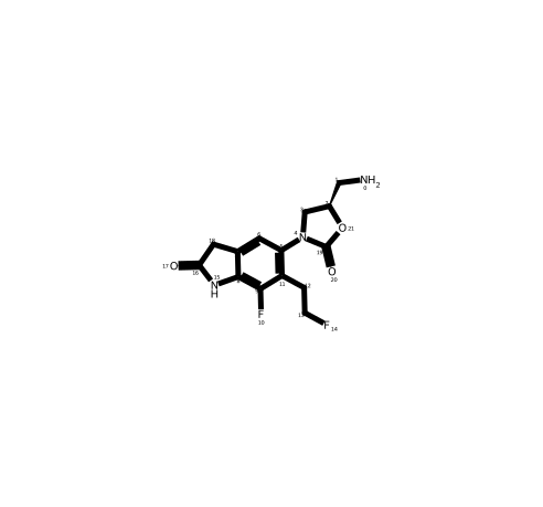 NC[C@@H]1CN(c2cc3c(c(F)c2CCF)NC(=O)C3)C(=O)O1